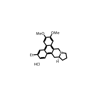 CCc1ccc2c3c(c4cc(OC)c(OC)cc4c2c1)CN1CCC[C@H]1C3.Cl